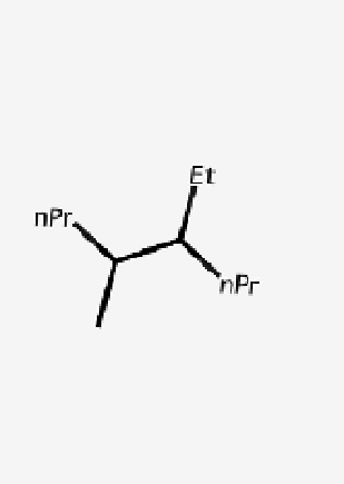 [CH2]CCC(CC)C(C)CCC